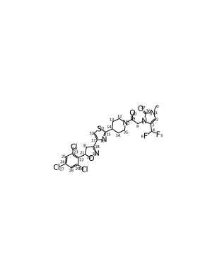 Cn1cc(C(F)F)n(CC(=O)N2CCC(c3nc(C4=NOC(c5c(Cl)cc(Cl)cc5Cl)C4)cs3)CC2)c1=O